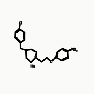 Br.O=[N+]([O-])c1ccc(OCCN2CCC(Cc3ccc(Cl)cc3)CC2)cc1